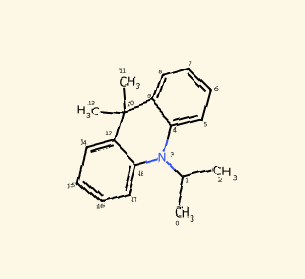 CC(C)N1c2ccccc2C(C)(C)c2ccccc21